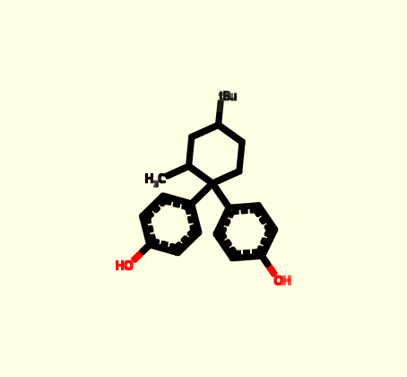 CC1CC(C(C)(C)C)CCC1(c1ccc(O)cc1)c1ccc(O)cc1